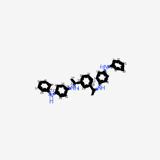 CC(Nc1ccc(Nc2ccccc2)cc1)c1cccc(C(C)Nc2ccc(Nc3ccccc3)cc2)c1